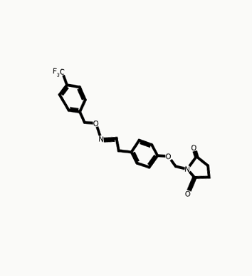 O=C1CCC(=O)N1COc1ccc(CC=NOCc2ccc(C(F)(F)F)cc2)cc1